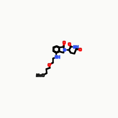 COCCCOCCNc1cccc2c1CN(C1CCC(=O)NC1=O)C2=O